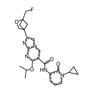 CC(C)Oc1nc2nc(C34COC(CF)(C3)C4)cn2cc1C(=O)Nc1cccn(C2CC2)c1=O